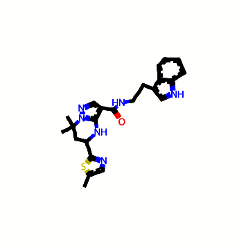 Cc1cnc(C2CC(C)(C)n3ncc(C(=O)NCCc4c[nH]c5ccccc45)c3N2)s1